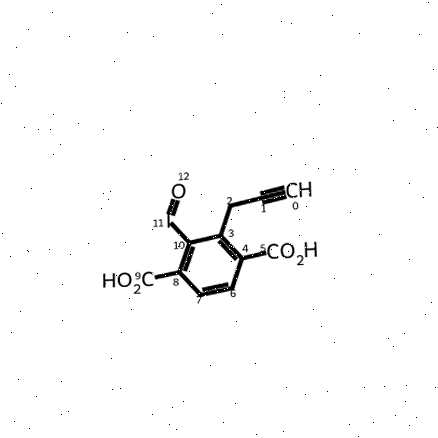 C#CCc1c(C(=O)O)ccc(C(=O)O)c1I=O